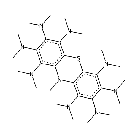 CN(C)c1c2c(c(N(C)C)c(N(C)C)c1N(C)C)N(C)c1c(c(N(C)C)c(N(C)C)c(N(C)C)c1N(C)C)S2